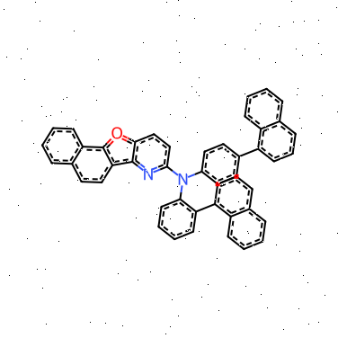 c1ccc(N(c2ccc(-c3cccc4ccccc34)cc2)c2ccc3oc4c5ccccc5ccc4c3n2)c(-c2cccc3ccccc23)c1